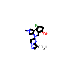 CN1CCC(N(Cc2cc(F)ccc2O)c2ccn3ncc(C(=O)O)c3n2)C1